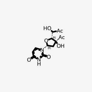 CC(=O)C(O)[C@H]1O[C@@H](n2ccc(=O)[nH]c2=O)C[C@@]1(O)C(C)=O